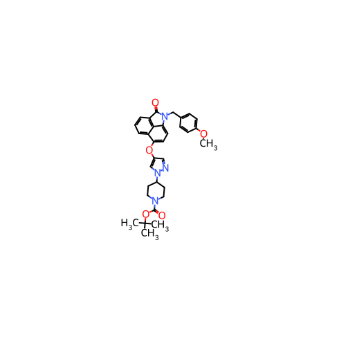 COc1ccc(CN2C(=O)c3cccc4c(Oc5cnn(C6CCN(C(=O)OC(C)(C)C)CC6)c5)ccc2c34)cc1